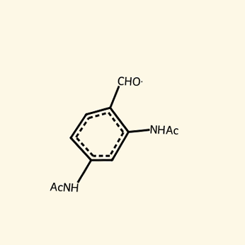 CC(=O)Nc1ccc([C]=O)c(NC(C)=O)c1